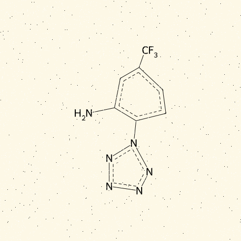 Nc1cc(C(F)(F)F)ccc1-n1nnnn1